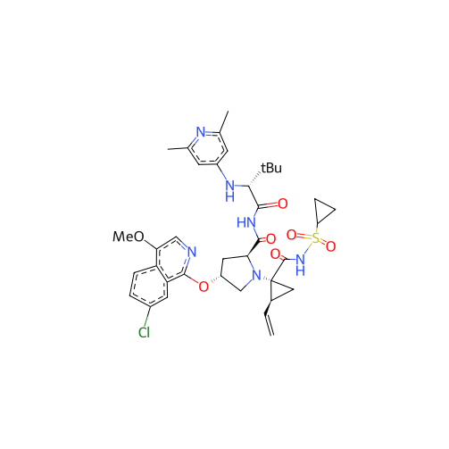 C=C[C@@H]1C[C@@]1(C(=O)NS(=O)(=O)C1CC1)N1C[C@H](Oc2ncc(OC)c3ccc(Cl)cc23)C[C@H]1C(=O)NC(=O)[C@H](Nc1cc(C)nc(C)c1)C(C)(C)C